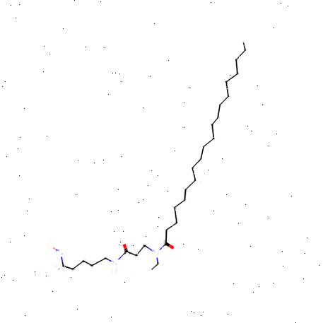 O=C(O)CCCCCCCCCCCCCCCCCCC(=O)N(CCC(=O)NCCCC[C@H](NP)C(=O)O)CC(=O)O